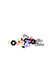 COc1cc(C(=O)N2[C@@H](c3nccs3)[C@H](C(C)OC(=S)Oc3ccc(F)cc3)C[C@@]2(CC(C)C)C(=O)OC(C)(C)C)ccc1C(C)(C)C